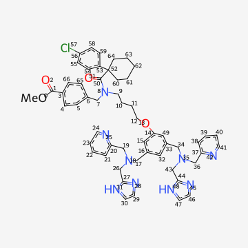 COC(=O)c1ccc(CN(CCCCOc2cc(CN(Cc3ccccn3)Cc3ncc[nH]3)cc(CN(Cc3ccccn3)Cc3ncc[nH]3)c2)C(=O)C2(c3ccc(Cl)cc3)CCCCC2)cc1